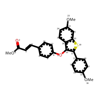 COC(=O)C=Cc1ccc(Oc2c(-c3ccc(OC)cc3)sc3cc(OC)ccc23)cc1